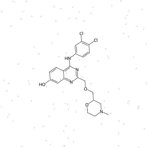 CN1CCOC(COCc2nc(Nc3ccc(Cl)c(Cl)c3)c3ccc(O)cc3n2)C1